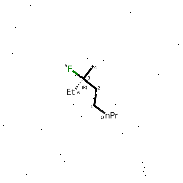 CCCCC[C@](C)(F)CC